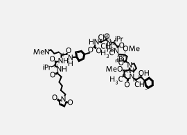 CC[C@H](C)[C@@H]([C@@H](CC(=O)N1CCC[C@H]1[C@H](OC)[C@@H](C)C(=O)N[C@H](C)[C@@H](O)c1ccccc1)OC)N(C)C(=O)[C@@H](NC(=O)C(C)(C)NC(=O)OCc1ccc(NC(=O)[C@H](CCCNC)NC(=O)[C@@H](NC(=O)CCCCCN2C(=O)C=CC2=O)C(C)C)cc1)C(C)C